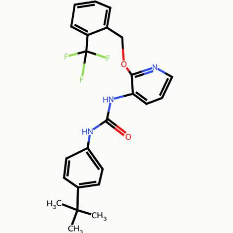 CC(C)(C)c1ccc(NC(=O)Nc2cccnc2OCc2ccccc2C(F)(F)F)cc1